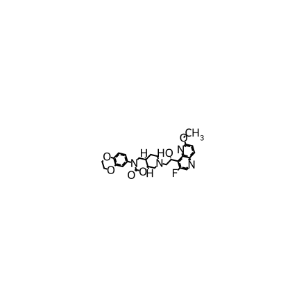 COc1ccc2ncc(F)c([C@@H](O)CN3CC[C@@H]4CN(c5ccc6c(c5)OCCO6)C(=O)O[C@H]4C3)c2n1